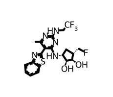 Cc1nc(NCC(F)(F)F)nc(N[C@@H]2C[C@H](CF)[C@@H](O)[C@H]2O)c1-c1nc2ccccc2s1